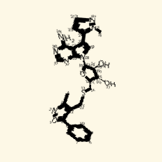 Cc1noc(-c2ccccc2)c1CSC[C@H]1O[C@@H](n2cc(-c3ccnn3C)c3c(N)ncnc32)[C@H](O)[C@@H]1O